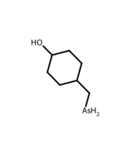 OC1CCC(C[AsH2])CC1